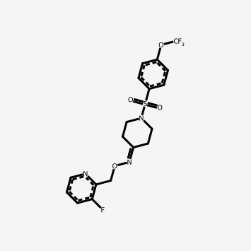 O=S(=O)(c1ccc(OC(F)(F)F)cc1)N1CCC(=NOCc2ncccc2F)CC1